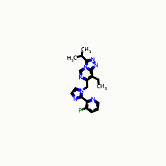 CCc1c(Cn2ccnc2-c2ncccc2F)ncn2c(C(C)C)nnc12